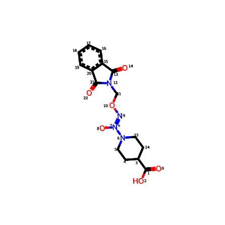 O=C(O)C1CCN([N+]([O-])=NOCN2C(=O)c3ccccc3C2=O)CC1